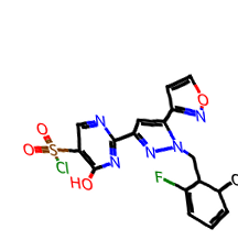 CC1C=CC=C(F)C1Cn1nc(-c2ncc(S(=O)(=O)Cl)c(O)n2)cc1-c1ccon1